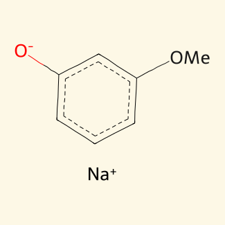 COc1cccc([O-])c1.[Na+]